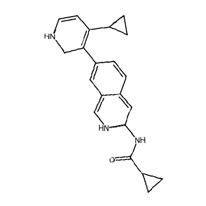 O=C(NC1C=c2ccc(C3=C(C4CC4)C=CNC3)cc2=CN1)C1CC1